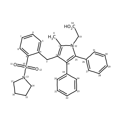 Cc1c(Cc2ccccc2S(=O)(=O)N2CCCC2)c(-c2ccccc2)c(-c2ccccc2)n1CC(=O)O